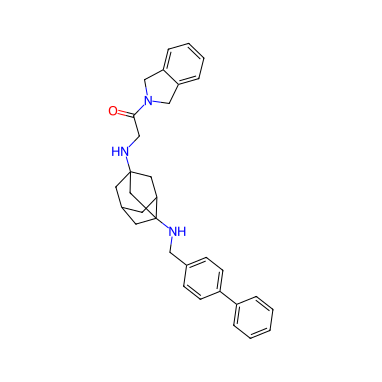 O=C(CNC12CC3CC(C1)C(NCc1ccc(-c4ccccc4)cc1)(C3)C2)N1Cc2ccccc2C1